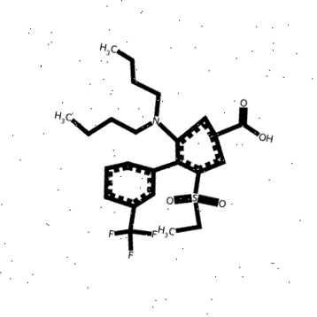 CCCCN(CCCC)c1cc(C(=O)O)cc(S(=O)(=O)CC)c1-c1cccc(C(F)(F)F)c1